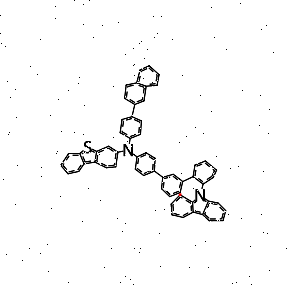 c1cc(-c2ccc(N(c3ccc(-c4ccc5ccccc5c4)cc3)c3ccc4c(c3)sc3ccccc34)cc2)cc(-c2ccccc2-n2c3ccccc3c3ccccc32)c1